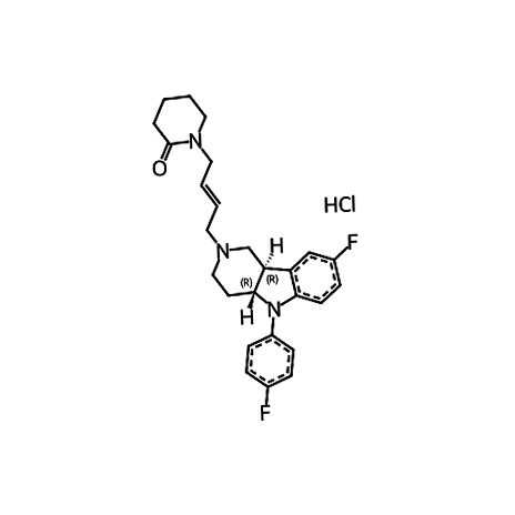 Cl.O=C1CCCCN1CC=CCN1CC[C@@H]2[C@@H](C1)c1cc(F)ccc1N2c1ccc(F)cc1